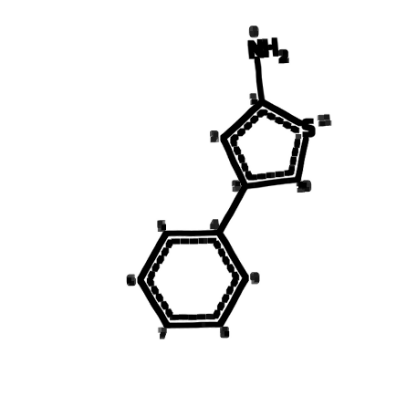 Nc1cc(-c2ccccc2)cs1